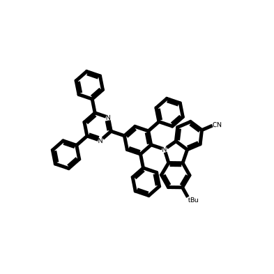 CC(C)(C)c1ccc2c(c1)c1cc(C#N)ccc1n2-c1c(-c2ccccc2)cc(-c2nc(-c3ccccc3)cc(-c3ccccc3)n2)cc1-c1ccccc1